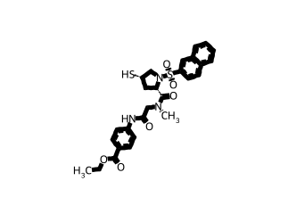 CCOC(=O)c1ccc(NC(=O)CN(C)C(=O)[C@@H]2C[C@H](S)CN2S(=O)(=O)c2ccc3ccccc3c2)cc1